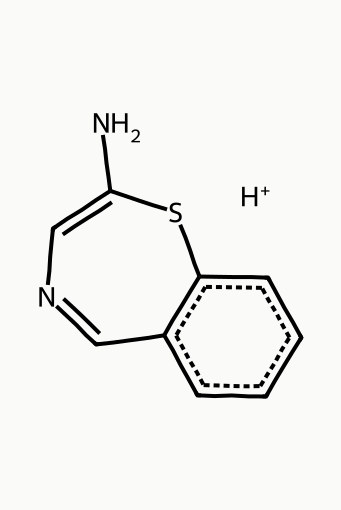 NC1=CN=Cc2ccccc2S1.[H+]